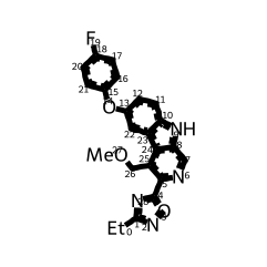 CCc1noc(-c2ncc3[nH]c4ccc(Oc5ccc(F)cc5)cc4c3c2COC)n1